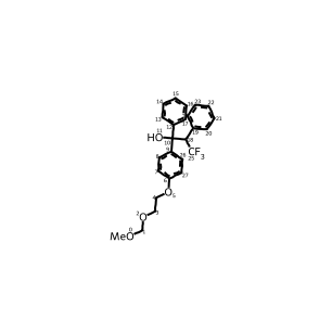 COCOCCOc1ccc(C(O)(c2ccccc2)C(c2ccccc2)C(F)(F)F)cc1